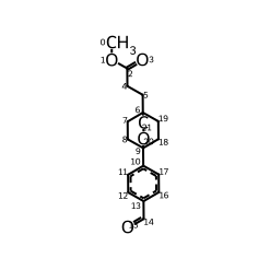 COC(=O)CCC12CCC(c3ccc(C=O)cc3)(CC1)OC2